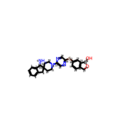 N[C@@H]1c2ccccc2CC12CCN(c1cnc(Sc3ccc4c(c3)B(O)OC4)cn1)CC2